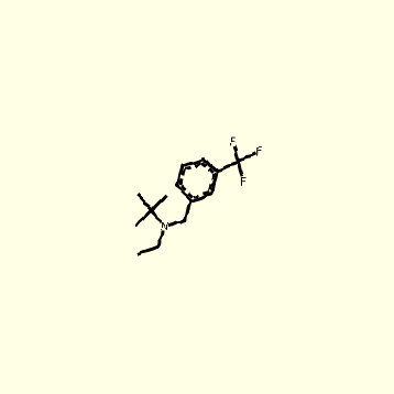 CCN(Cc1cccc(C(F)(F)F)c1)C(C)(C)C